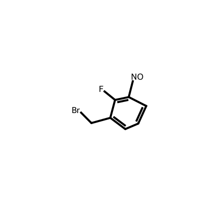 O=Nc1cccc(CBr)c1F